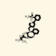 CC(C)(N)C(=O)N[C@@H]1CSc2ccccc2N(Cc2ccc(-c3ccccc3S(N)(=O)=O)cc2)C1=O